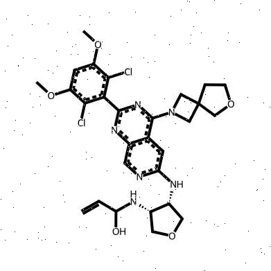 C=CC(O)N[C@H]1COC[C@H]1Nc1cc2c(N3CC4(CCOC4)C3)nc(-c3c(Cl)c(OC)cc(OC)c3Cl)nc2cn1